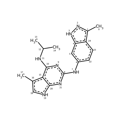 Cc1n[nH]c2cc(Nc3nc(NC(C)C)c4c(C)c[nH]c4n3)ccc12